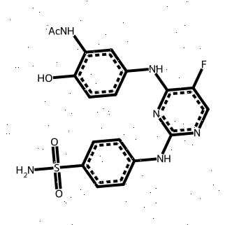 CC(=O)Nc1cc(Nc2nc(Nc3ccc(S(N)(=O)=O)cc3)ncc2F)ccc1O